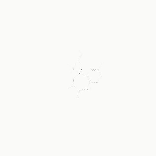 CC=CO[C@]1(C(F)(F)F)CN(C)C(=O)Nc2ccc(Cl)cc21